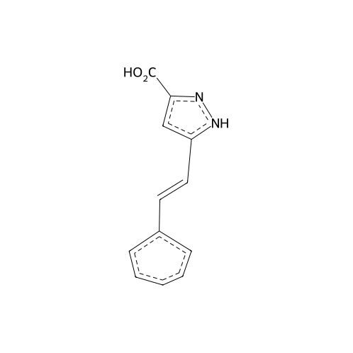 O=C(O)c1cc(C=Cc2ccccc2)[nH]n1